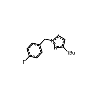 CC(C)(C)c1c[c]n(Cc2ccc(F)cc2)n1